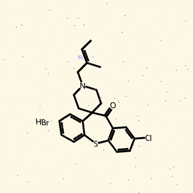 Br.C/C=C(\C)CN1CCC2(CC1)C(=O)c1cc(Cl)ccc1Sc1ccccc12